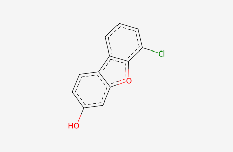 Oc1ccc2c(c1)oc1c(Cl)cccc12